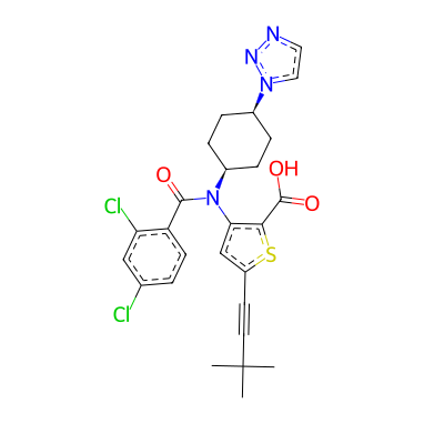 CC(C)(C)C#Cc1cc(N(C(=O)c2ccc(Cl)cc2Cl)[C@H]2CC[C@@H](n3ccnn3)CC2)c(C(=O)O)s1